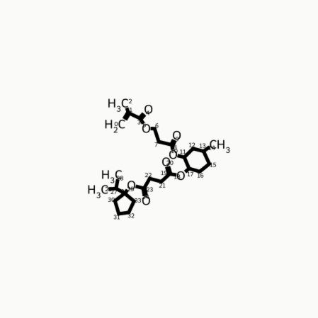 C=C(C)C(=O)OCCC(=O)OC1CC(C)CCC1OC(=O)CCC(=O)OC1(C(C)C)CCCC1